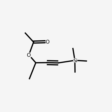 CC(=O)OC(C)C#C[Si](C)(C)C